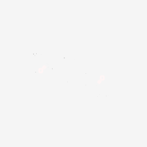 CCCCCC(=O)CCc1ccc(C(=O)OC)cc1